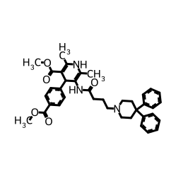 COC(=O)C1=C(C)NC(C)=C(NC(=O)CCCN2CCC(c3ccccc3)(c3ccccc3)CC2)C1c1ccc(C(=O)OC)cc1